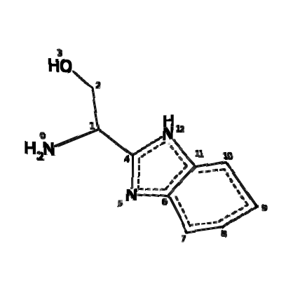 NC(CO)c1nc2ccccc2[nH]1